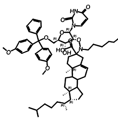 CCCCCCN(O[C@@H]1[C@H](O)[C@@H](COC(c2ccccc2)(c2ccc(OC)cc2)c2ccc(OC)cc2)O[C@H]1n1ccc(=O)[nH]c1=O)C1(C(=O)O)CC[C@@]2(C)C(=CCC3C2CC[C@@]2(C)C3CC[C@@H]2[C@H](C)CCCC(C)C)C1